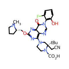 CN1CCC[C@H]1COc1nc(N2CCN(C(=O)O)[C@@](CC#N)(C(C)(C)C)C2)c2ncn(-c3c(O)cccc3F)c(=O)c2n1